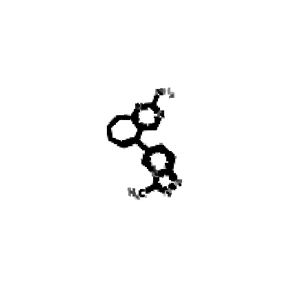 Cc1nnc2ccc(C3=CCCCc4nc(N)ncc43)cn12